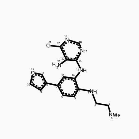 CNCCNc1ccc(-c2ccoc2)cc1Nc1ncnc(Cl)c1N